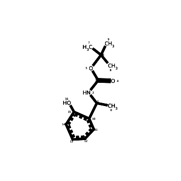 CC(NC(=O)OC(C)(C)C)c1ccccc1O